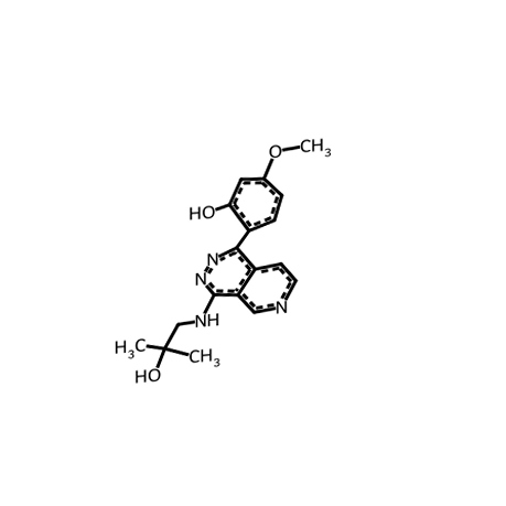 COc1ccc(-c2nnc(NCC(C)(C)O)c3cnccc23)c(O)c1